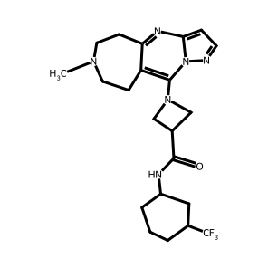 CN1CCc2nc3ccnn3c(N3CC(C(=O)NC4CCCC(C(F)(F)F)C4)C3)c2CC1